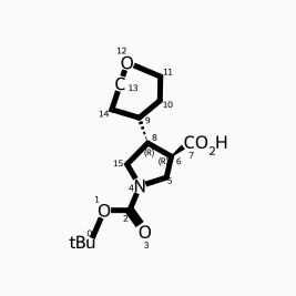 CC(C)(C)OC(=O)N1C[C@H](C(=O)O)[C@@H](C2CCOCC2)C1